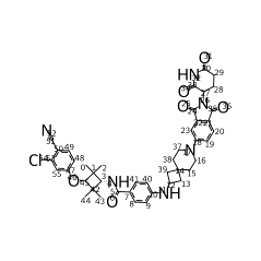 CC1(C)[C@H](NC(=O)c2ccc(NC3CC4(CCN(c5ccc6c(c5)C(=O)N(C5CCC(=O)NC5=O)C6=O)CC4)C3)cc2)C(C)(C)[C@H]1Oc1ccc(C#N)c(Cl)c1